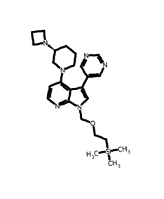 C[Si](C)(C)CCOCn1cc(-c2cncnc2)c2c(N3CCC[C@H](N4CCC4)C3)ccnc21